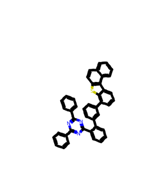 c1ccc(-c2nc(-c3ccccc3)nc(-c3ccccc3-c3cccc(-c4cccc5c4sc4ccc6ccccc6c45)c3)n2)cc1